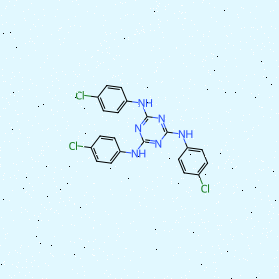 Clc1ccc(Nc2nc(Nc3ccc(Cl)cc3)nc(Nc3ccc(Cl)cc3)n2)cc1